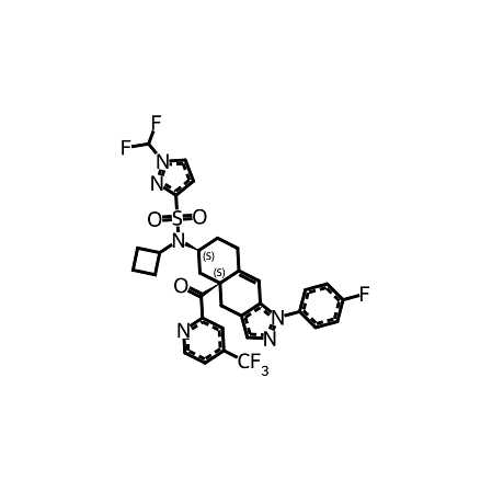 O=C(c1cc(C(F)(F)F)ccn1)[C@]12Cc3cnn(-c4ccc(F)cc4)c3C=C1CC[C@H](N(C1CCC1)S(=O)(=O)c1ccn(C(F)F)n1)C2